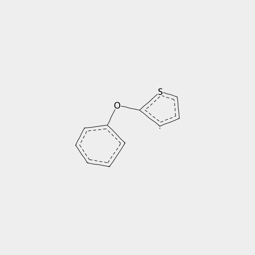 [c]1ccsc1Oc1ccccc1